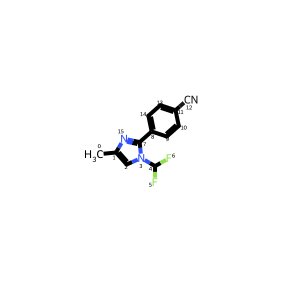 Cc1cn(C(F)F)c(-c2ccc(C#N)cc2)n1